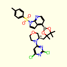 Cc1ccc(S(=O)(=O)n2ccc3c(B4OC(C)(C)C(C)(C[C@@H]5COCCN5c5cc(Cl)nc(Cl)n5)O4)ccnc32)cc1